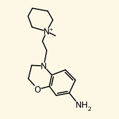 C[N+]1(CCN2CCOc3cc(N)ccc32)CCCCC1